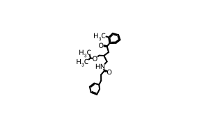 Cc1ccccc1C(=O)CC(CNC(=O)CCC1C=CC=CC1)COC(C)C